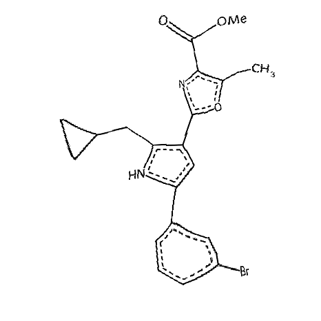 COC(=O)c1nc(-c2cc(-c3cccc(Br)c3)[nH]c2CC2CC2)oc1C